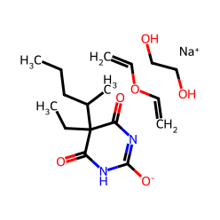 C=COC=C.CCCC(C)C1(CC)C(=O)N=C([O-])NC1=O.OCCO.[Na+]